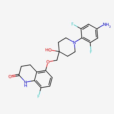 Nc1cc(F)c(N2CCC(O)(COc3ccc(F)c4c3CCC(=O)N4)CC2)c(F)c1